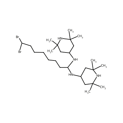 CC1(C)CC(NC(CCCCCCC(Br)Br)NC2CC(C)(C)NC(C)(C)C2)CC(C)(C)N1